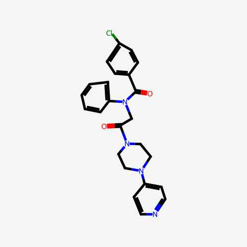 O=C(CN(C(=O)c1ccc(Cl)cc1)c1ccccc1)N1CCN(c2ccncc2)CC1